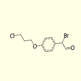 O=CC(Br)c1ccc(OCCCCl)cc1